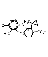 Cc1c(Cl)ncnc1O[C@H]1CCN(C(=O)O)C(C2(C)CC2)[C@H]1F